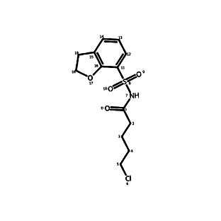 O=C(CCCCCl)NS(=O)(=O)c1cccc2c1OCC2